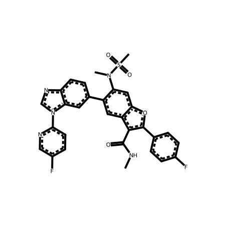 CNC(=O)c1c(-c2ccc(F)cc2)oc2cc(N(C)S(C)(=O)=O)c(-c3ccc4ncn(-c5ccc(F)cn5)c4c3)cc12